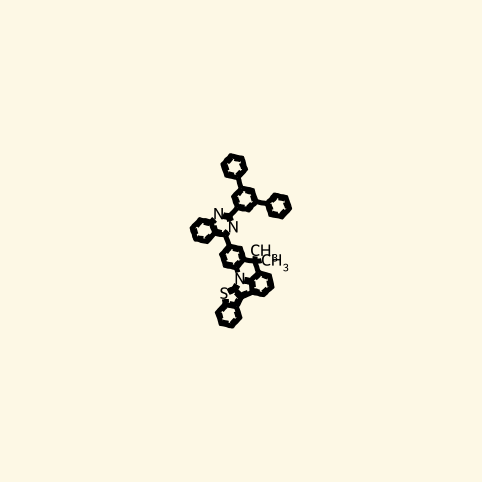 CC1(C)c2cc(-c3nc(-c4cc(-c5ccccc5)cc(-c5ccccc5)c4)nc4ccccc34)ccc2-n2c3sc4ccccc4c3c3cccc1c32